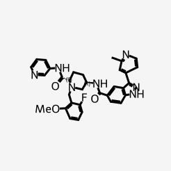 COc1cccc(F)c1CN1C[C@H](NC(=O)c2ccc3[nH]nc(-c4ccnc(C)c4)c3c2)CC[C@H]1C(=O)Nc1cccnc1